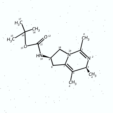 CC1=N[C@@H](C)C(C)=C2C[C@@H](NC(=O)OC(C)(C)C)CN12